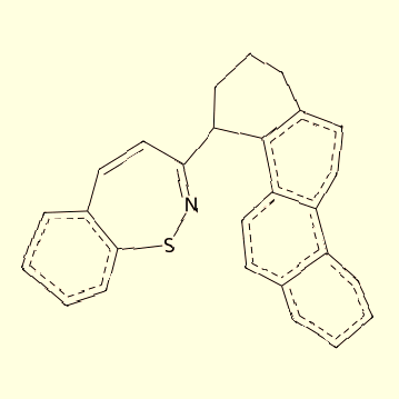 C1=Cc2ccccc2SN=C1C1CCCc2ccc3c(ccc4ccccc43)c21